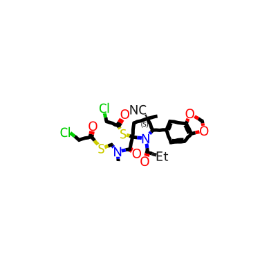 CCC(=O)N1C(c2ccc3c(c2)OCO3)[C@@](C)(C#N)CC1(SC(=O)CCl)C(=O)N(C)CSC(=O)CCl